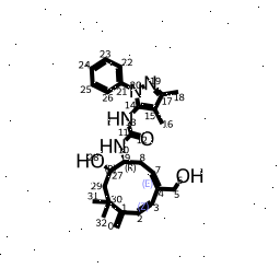 C=C1/C=C\C(CO)=C/C[C@@H](NC(=O)Nc2c(C)c(C)nn2-c2ccccc2)[C@H](O)CC1(C)C